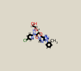 Cc1ccccc1-n1nnc2c(O[C@@H](COCCO)C(=O)Nc3ccc(Cl)cn3)ncnc21